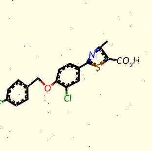 Cc1nc(-c2ccc(OCc3ccc(F)cc3)c(Cl)c2)sc1C(=O)O